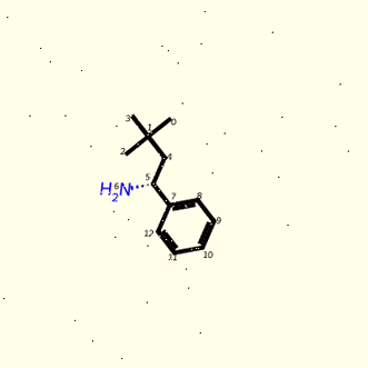 CC(C)(C)C[C@@H](N)c1ccccc1